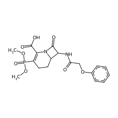 COP(=O)(OC)C1=C(C(=O)O)N2C(=O)C(NC(=O)COc3ccccc3)C2CC1